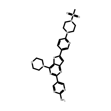 CS(=O)(=O)N1CCN(c2ccc(-c3cc4nc(-c5cnc(N)nc5)nc(N5CCOCC5)c4s3)cn2)CC1